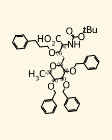 C[C@@H]1O[C@@H](C[C@H](OCCCc2ccccc2)[C@H](NC(=O)OC(C)(C)C)C(=O)O)[C@@H](OCc2ccccc2)[C@H](OCc2ccccc2)[C@@H]1OCc1ccccc1